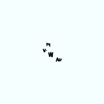 [Au].[Pt].[V].[W]